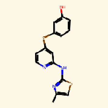 Cc1csc(Nc2cc(Sc3cccc(O)c3)ccn2)n1